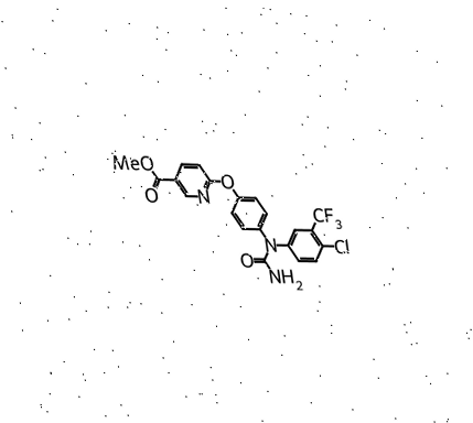 COC(=O)c1ccc(Oc2ccc(N(C(N)=O)c3ccc(Cl)c(C(F)(F)F)c3)cc2)nc1